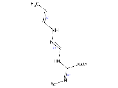 C/C=C/N/N=C/N/C(=N\C(C)=O)NC